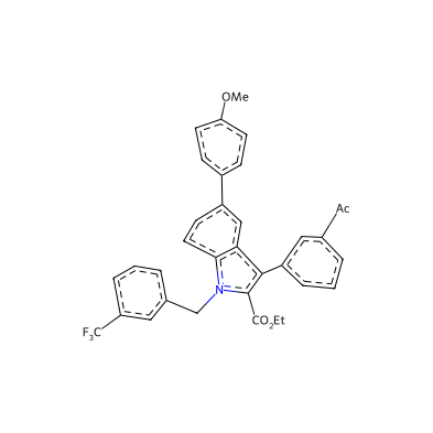 CCOC(=O)c1c(-c2cccc(C(C)=O)c2)c2cc(-c3ccc(OC)cc3)ccc2n1Cc1cccc(C(F)(F)F)c1